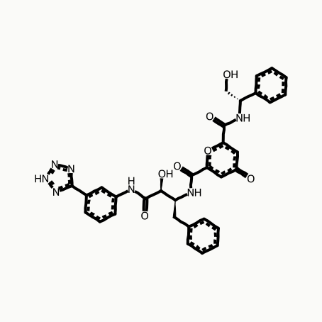 O=C(N[C@@H](Cc1ccccc1)[C@H](O)C(=O)Nc1cccc(-c2nn[nH]n2)c1)c1cc(=O)cc(C(=O)N[C@H](CO)c2ccccc2)o1